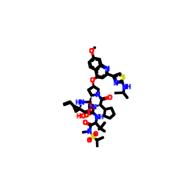 C=CC1C[C@]1(NC(=O)[C@@H]1C[C@@H](Oc2cc(-c3csc(NC(C)C)n3)nc3cc(OC)ccc23)CN1C(=O)[C@@H](NC(=O)NC(C(=O)N(C)S(=O)(=O)C(C)C)C(C)(C)C)C1CCCC1)C(=O)O